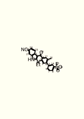 CCn1c2cc(-c3cccc(S(=O)(=O)F)c3)c(C)cc2c(=O)c2c3ccc(C#N)cc3[nH]c21